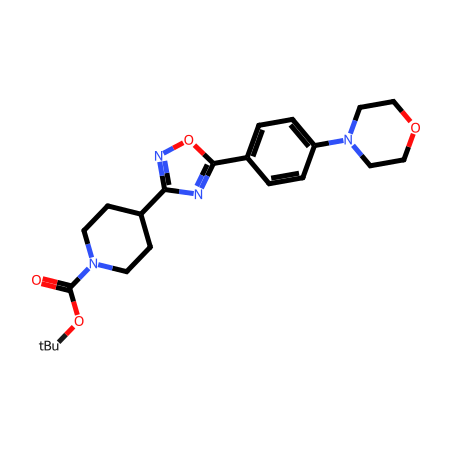 CC(C)(C)OC(=O)N1CCC(c2noc(-c3ccc(N4CCOCC4)cc3)n2)CC1